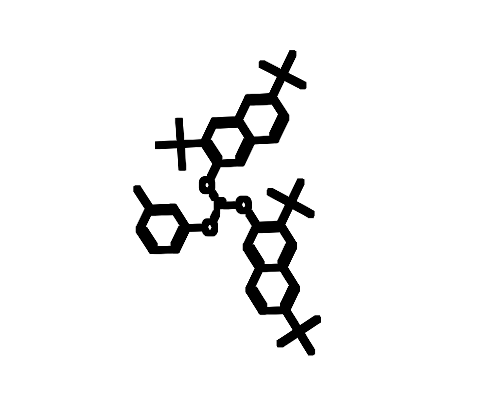 Cc1cccc(OP(Oc2cc3ccc(C(C)(C)C)cc3cc2C(C)(C)C)Oc2cc3ccc(C(C)(C)C)cc3cc2C(C)(C)C)c1